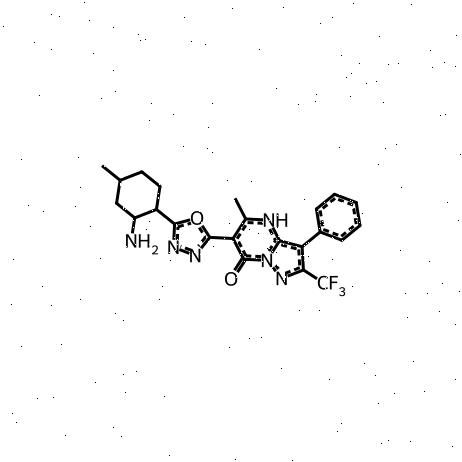 Cc1[nH]c2c(-c3ccccc3)c(C(F)(F)F)nn2c(=O)c1-c1nnc(C2CCC(C)CC2N)o1